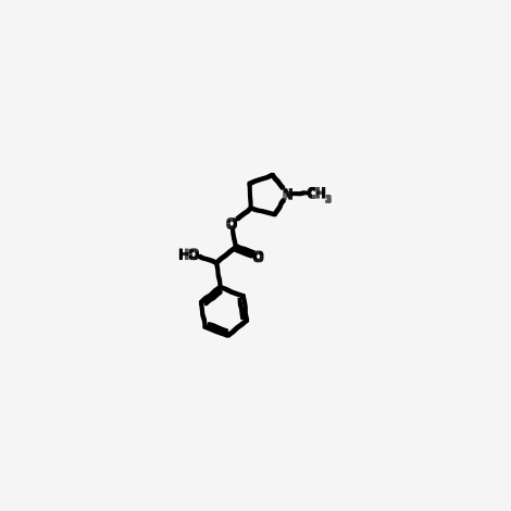 CN1CCC(OC(=O)C(O)c2ccccc2)C1